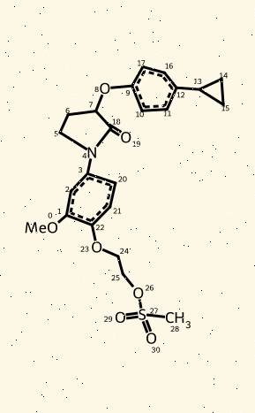 COc1cc(N2CCC(Oc3ccc(C4CC4)cc3)C2=O)ccc1OCCOS(C)(=O)=O